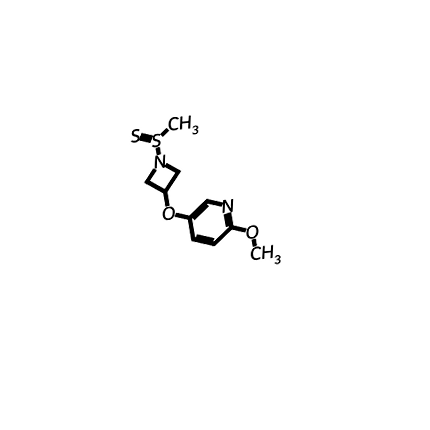 COc1ccc(OC2CN(S(C)=S)C2)cn1